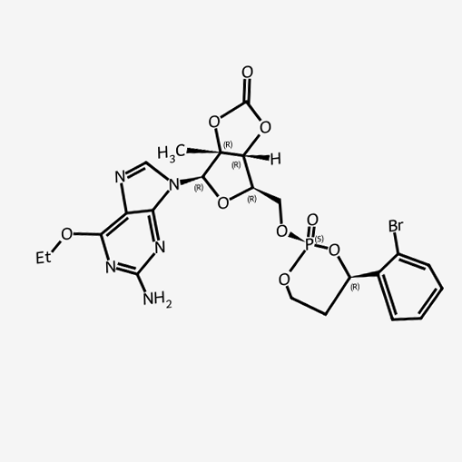 CCOc1nc(N)nc2c1ncn2[C@@H]1O[C@H](CO[P@]2(=O)OCC[C@H](c3ccccc3Br)O2)[C@H]2OC(=O)O[C@]21C